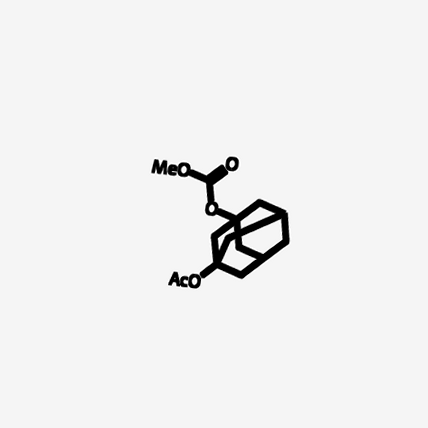 COC(=O)OC12CC3CC(CC(OC(C)=O)(C3)C1)C2